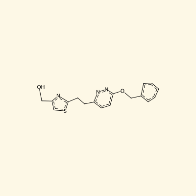 OCc1csc(CCc2ccc(OCc3ccccc3)nn2)n1